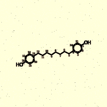 Oc1ccc(CCCCCCCCc2ccc(O)cc2)cc1